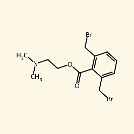 CN(C)CCOC(=O)c1c(CBr)cccc1CBr